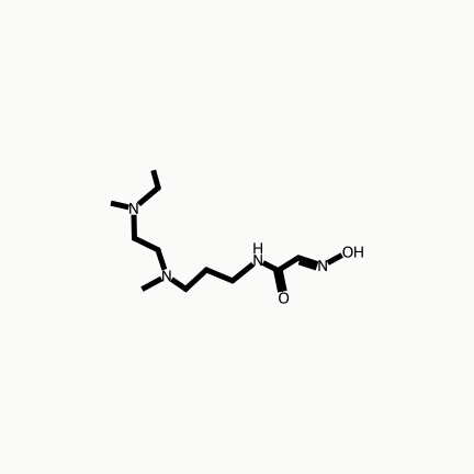 CCN(C)CCN(C)CCCNC(=O)/C=N/O